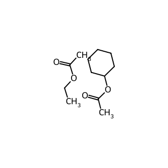 CC(=O)OC1CCCCC1.CCOC(C)=O